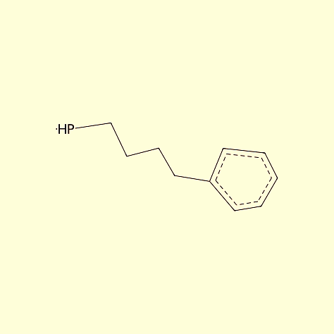 [PH]CCCCc1ccccc1